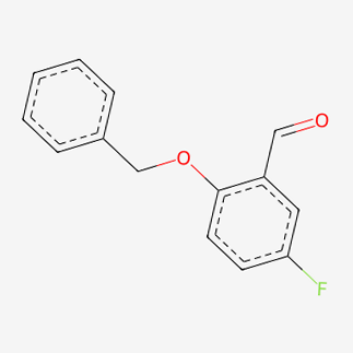 O=Cc1cc(F)ccc1OCc1ccccc1